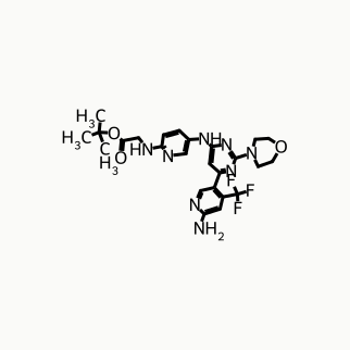 CC(C)(C)OC(=O)CNc1ccc(Nc2cc(-c3cnc(N)cc3C(F)(F)F)nc(N3CCOCC3)n2)cn1